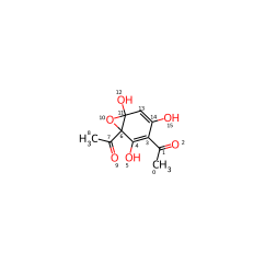 CC(=O)C1=C(O)C2(C(C)=O)OC2(O)C=C1O